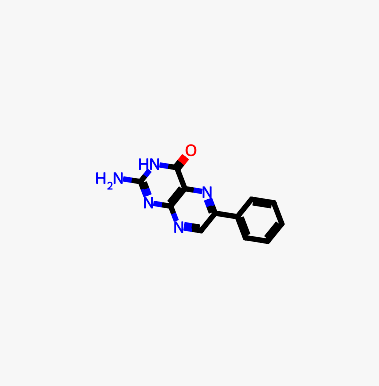 Nc1nc2ncc(-c3ccccc3)nc2c(=O)[nH]1